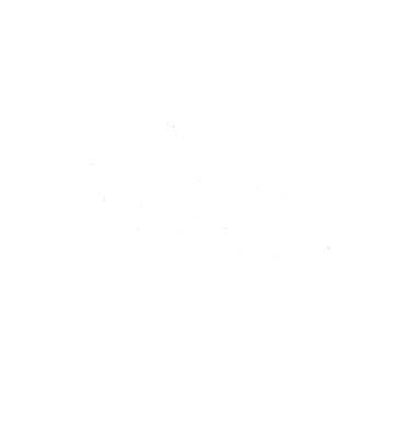 CCOC(=O)C(Oc1ccccc1Br)c1ccc(Cl)cc1F